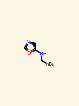 CCCCCNc1cnco1